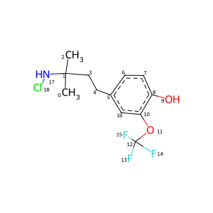 CC(C)(CCc1ccc(O)c(OC(F)(F)F)c1)NCl